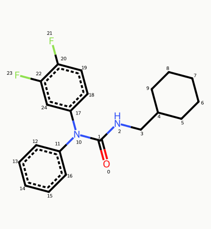 O=C(NCC1CCCCC1)N(c1ccccc1)c1ccc(F)c(F)c1